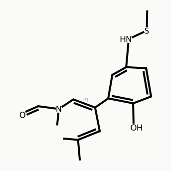 CSNc1ccc(O)c(/C(C=C(C)C)=C/N(C)C=O)c1